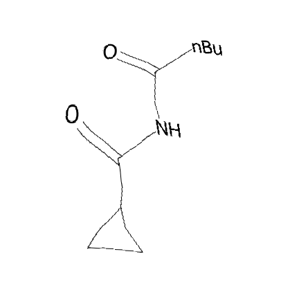 CCCCC(=O)NC(=O)C1CC1